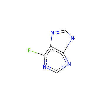 Fc1ncnc2c1N=C[N]2